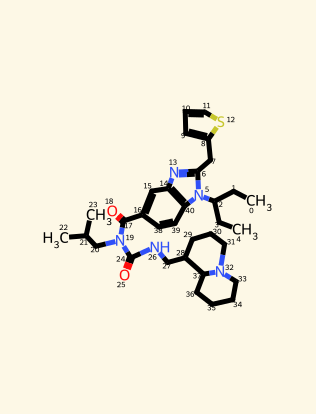 CCC(CC)n1c(Cc2cccs2)nc2cc(C(=O)N(CC(C)C)C(=O)NCC3CCCN4CCCCC34)ccc21